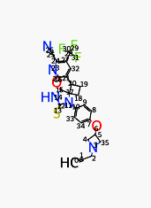 C#CCN1CC(Oc2ccc(N3C(=S)NC(=O)C34CCC4c3cnc(C#N)c(C(F)(F)F)c3)cc2)C1